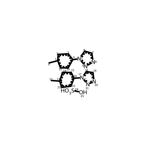 Cc1ccc(-n2ccnn2)cc1.Cc1ccc(-n2ccnn2)cc1.O=S(=O)(O)O